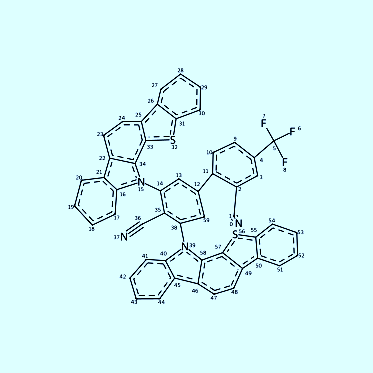 N#Cc1cc(C(F)(F)F)ccc1-c1cc(-n2c3ccccc3c3ccc4c5ccccc5sc4c32)c(C#N)c(-n2c3ccccc3c3ccc4c5ccccc5sc4c32)c1